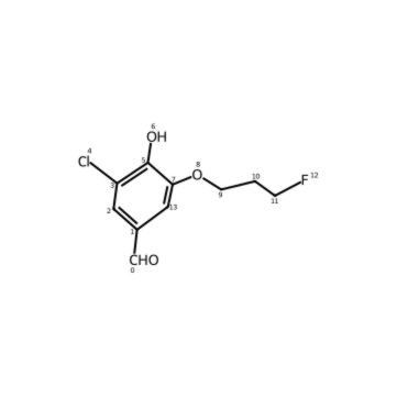 O=Cc1cc(Cl)c(O)c(OCCCF)c1